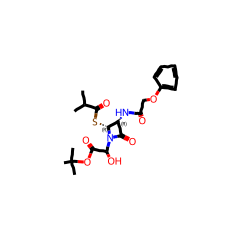 CC(C)C(=O)S[C@@H]1[C@H](NC(=O)COc2ccccc2)C(=O)N1C(O)C(=O)OC(C)(C)C